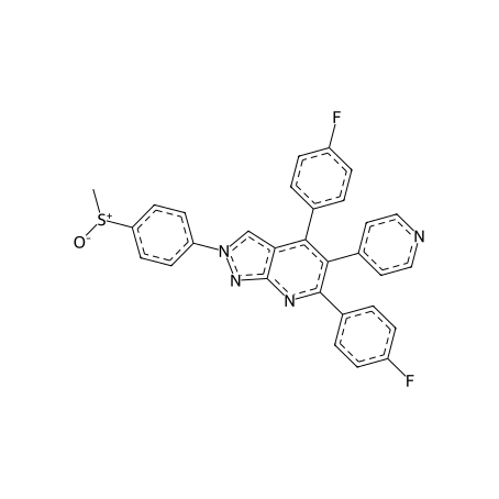 C[S+]([O-])c1ccc(-n2cc3c(-c4ccc(F)cc4)c(-c4ccncc4)c(-c4ccc(F)cc4)nc3n2)cc1